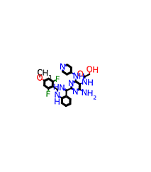 COc1cc(F)c(CNc2ccccc2C(=N)c2nc(N)c(NC(=O)CO)c(Nc3ccncc3)n2)c(F)c1